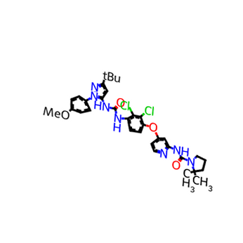 COc1ccc(-n2nc(C(C)(C)C)cc2NC(=O)Nc2ccc(Oc3ccnc(NC(=O)N4CCCC4(C)C)c3)c(Cl)c2Cl)cc1